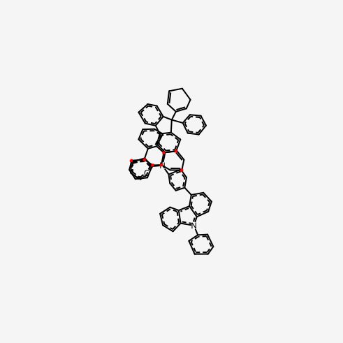 C1=CC(c2ccccc2)C(c2ccccc2-c2ccccc2N(c2ccc(-c3cccc4c3c3ccccc3n4-c3ccccc3)cc2)c2ccc3c(c2)-c2ccccc2C3(C2=CCCC=C2)c2ccccc2)C=C1